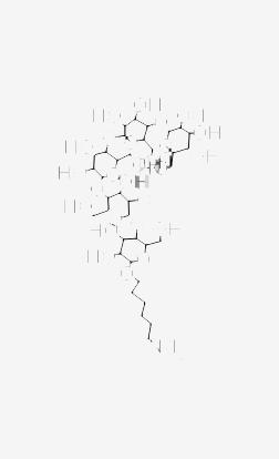 NCCCCCCOC1OC(CO)C(OC2OC(CO)C(OC3OC(CO)C(OC4OC(CO)C(OC5OC(CO)C(O)C(O)C5O)C(O)C4O)C(O)C3O)C(O)C2O)C(O)C1O